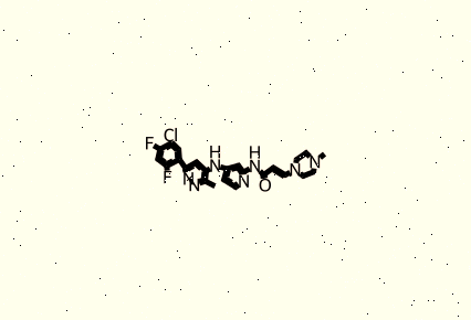 Cc1nnc(-c2cc(Cl)c(F)cc2F)cc1Nc1ccnc(NC(=O)C=CN2CCN(C)CC2)c1